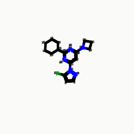 Fc1ccnn1-c1cc(N2CCC2)nc(C2CCCCC2)n1